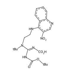 CC(C)(C)OC(=O)NC(=NC(=O)O)N(CCNc1c([N+](=O)[O-])cnc2ccccc12)C(C)(C)C